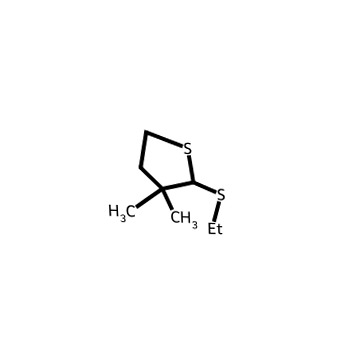 CCSC1SCCC1(C)C